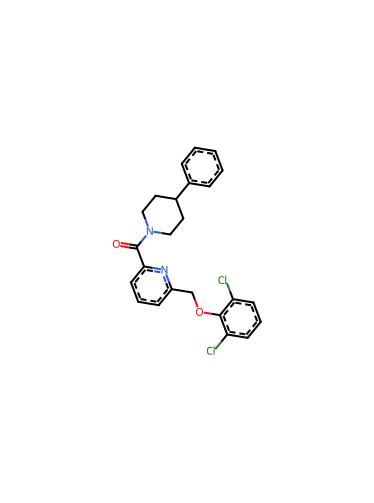 O=C(c1cccc(COc2c(Cl)cccc2Cl)n1)N1CCC(c2ccccc2)CC1